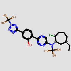 CC[C@@H]1CCC[C@H](F)[C@H](N(c2cnc(-c3ccc(-c4nnn(C(S)(S)S)n4)cc3O)nn2)C(S)(S)S)C1